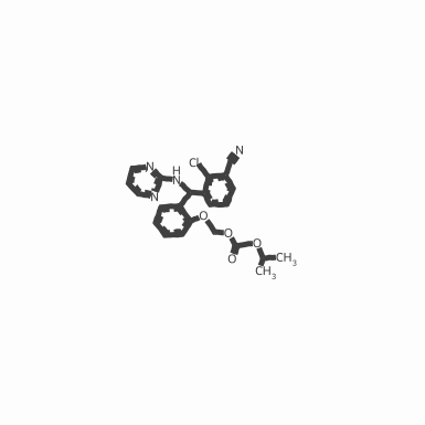 CC(C)OC(=O)OCOc1ccccc1C(Nc1ncccn1)c1cccc(C#N)c1Cl